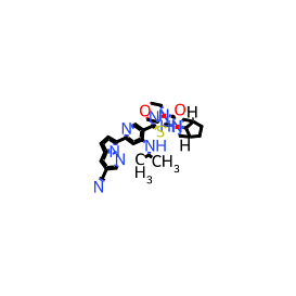 CC(C)Nc1cc(-c2ccc3cc(C#N)cnn23)ncc1-c1nnc(N2C[C@H]3CC[C@@H](C2)C3NC(=O)N2CCOCC2)s1